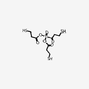 O=C(CCS)[O][Ti](=[O])([O]C(=O)CCS)[C](=O)CCS